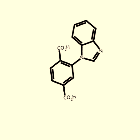 O=C(O)c1ccc(C(=O)O)c(-n2cnc3ccccc32)c1